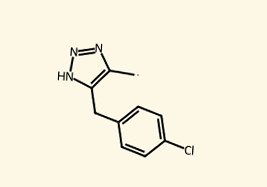 [CH2]c1nn[nH]c1Cc1ccc(Cl)cc1